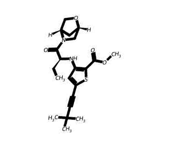 CC[C@H](Nc1cc(C#CC(C)(C)C)sc1C(=O)OC)C(=O)N1C[C@@H]2C[C@H]1CO2